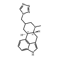 CN1CC(Cn2cnnn2)C[C@@H]2c3cccc4[nH]cc(c34)C[C@H]21